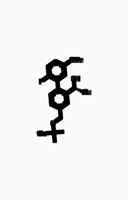 COc1ccc(F)c(-c2ccc(CO[Si](C)(C)C(C)(C)C)cc2[C@H](O)C(C)(C)C)c1